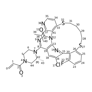 C=CC(=O)N1CCN(c2nc(=O)n3c4nc(c(Cl)cc24)-c2c(F)cccc2SCCCCSc2ccnc(C(C)C)c2-3)[C@H](C)C1